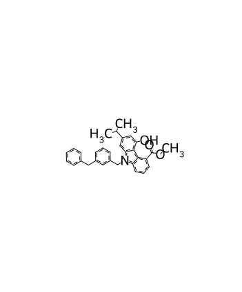 COC(=O)c1cccc2c1c1c(O)cc(C(C)C)cc1n2Cc1cccc(Cc2ccccc2)c1